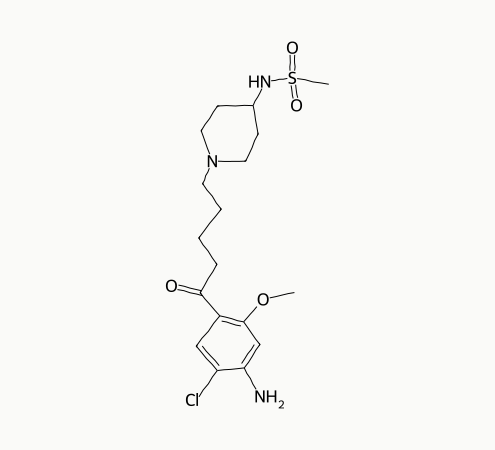 COc1cc(N)c(Cl)cc1C(=O)CCCCN1CCC(NS(C)(=O)=O)CC1